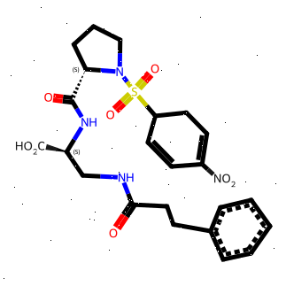 O=C(CCc1ccccc1)NC[C@H](NC(=O)[C@@H]1CCCN1S(=O)(=O)C1C=CC([N+](=O)[O-])=CC1)C(=O)O